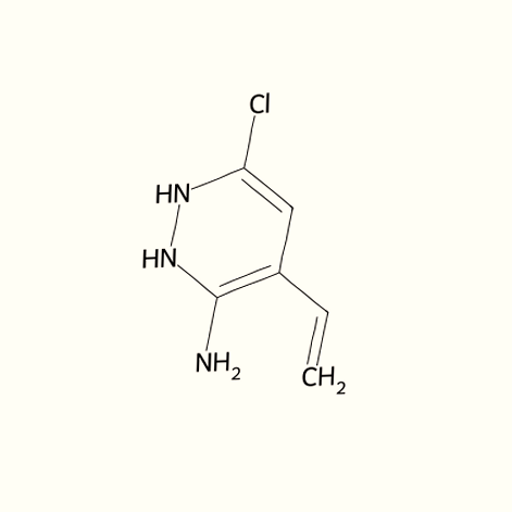 C=CC1=C(N)NNC(Cl)=C1